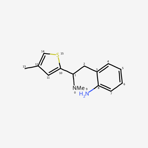 CNC(Cc1ccccc1N)c1cc(C)cs1